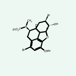 CCOC(=O)N(C)[C@@H]1Cc2c(Br)cc(OC)c3c2C2[C@H]1C[C@@H](Br)[C@H](O)[C@@H]2O3